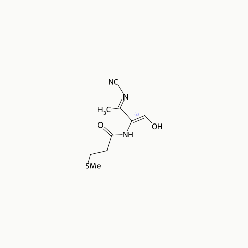 CSCCC(=O)N/C(=C\O)C(C)=NC#N